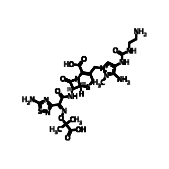 Cn1c(N)c(NC(=O)NCCN)c[n+]1CC1=C(C(=O)O)N2C(=O)[C@@H](NC(=O)C(=NOC(C)(C)C(=O)O)c3nsc(N)n3)[C@H]2SC1